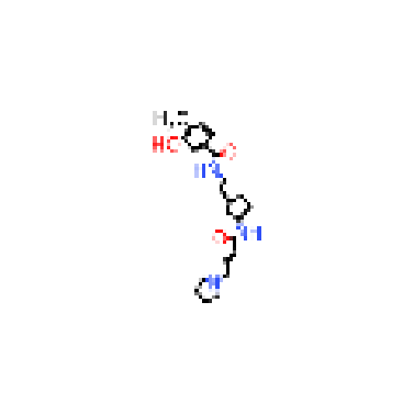 Cc1ccc(C(=O)NCCC2CCC(NC(=O)C=CCN3CCCC3)C2)cc1O